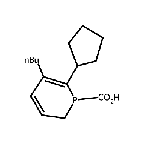 CCCCC1=C(C2CCCC2)P(C(=O)O)CC=C1